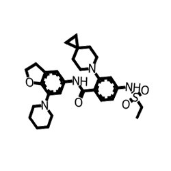 CCS(=O)(=O)Nc1ccc(C(=O)Nc2cc3c(c(N4CCCCC4)c2)OCC3)c(N2CCC3(CC2)CC3)c1